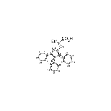 CCC(Oc1nc(-c2ccccc2)c(-c2ccccc2)n1-c1ccccc1)C(=O)O